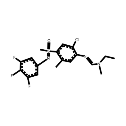 CCN(C)C=Nc1cc(C)c(S(C)(=O)=Nc2cc(F)c(F)c(F)c2)cc1Cl